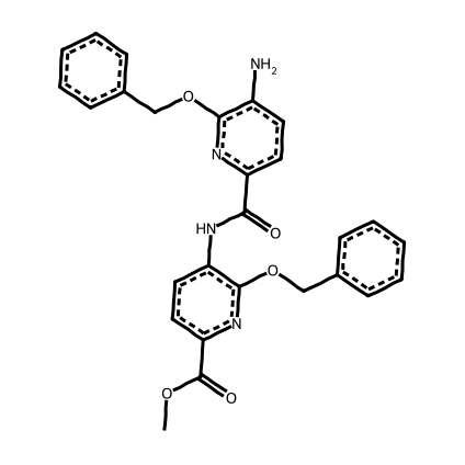 COC(=O)c1ccc(NC(=O)c2ccc(N)c(OCc3ccccc3)n2)c(OCc2ccccc2)n1